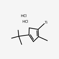 CC1=[C]([Ti])CC(C(C)(C)C)=C1.Cl.Cl